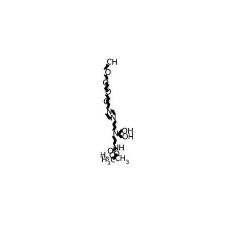 C#CCOCCOCCOCCOCCN1CCN(CCCCN(CCCNC(=O)OC(C)(C)C)C(CO)CO)CC1